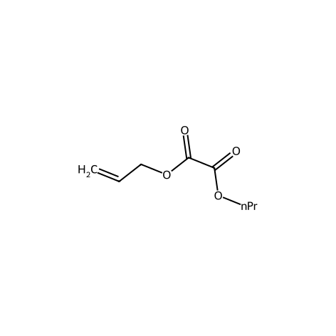 C=CCOC(=O)C(=O)OCCC